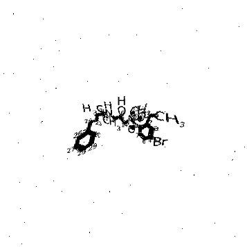 CCc1cc(Br)ccc1S(=O)(=O)N(C)CC(O)CNC(C)(C)CCCc1ccccc1